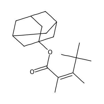 CC(C(=O)OC12CC3CC(CC(C3)C1)C2)=C(C)C(C)(C)C